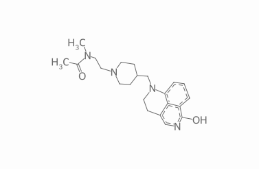 CC(=O)N(C)CCN1CCC(CN2CCc3cnc(O)c4cccc2c34)CC1